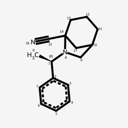 C[C@H](c1ccccc1)N1CC2CCCC1(C#N)C2